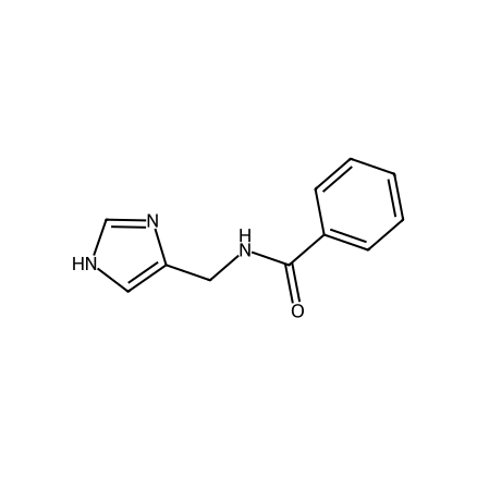 O=C(NCc1c[nH]cn1)c1ccccc1